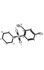 CCc1ccc(S(=O)(=O)N2CCCCC2)c(C(C)(C)C)c1